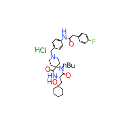 CCCCN1C(=O)[C@@H](CC2(O)CCCCC2)NC(=O)C12CCN(Cc1ccc(NC(=O)Cc3ccc(F)cc3)cc1)CC2.Cl